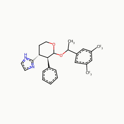 CC(OC1OCC[C@@H](c2ncc[nH]2)[C@@H]1c1ccccc1)c1cc(C(F)(F)F)cc(C(F)(F)F)c1